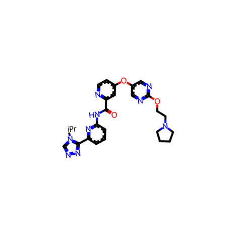 CC(C)n1cnnc1-c1cccc(NC(=O)c2cc(Oc3cnc(OCCN4CCCC4)nc3)ccn2)n1